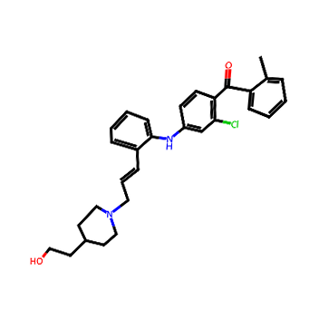 Cc1ccccc1C(=O)c1ccc(Nc2ccccc2/C=C/CN2CCC(CCO)CC2)cc1Cl